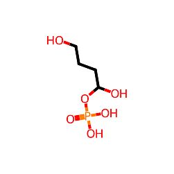 O=P(O)(O)OC(O)CCCO